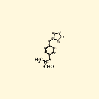 CN(C=O)Cc1ccc(CN2CCCC2)cc1